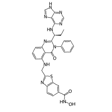 CC[C@H](Nc1ncnc2[nH]cnc12)c1nc2cccc(NCc3nc4ccc(C(=O)NO)cc4s3)c2c(=O)n1-c1ccccc1